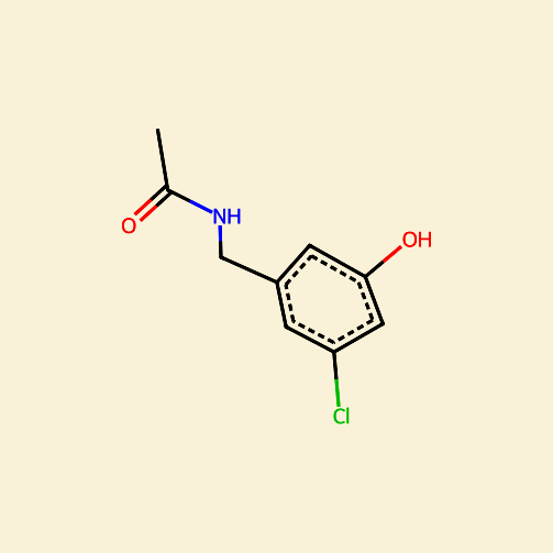 CC(=O)NCc1cc(O)cc(Cl)c1